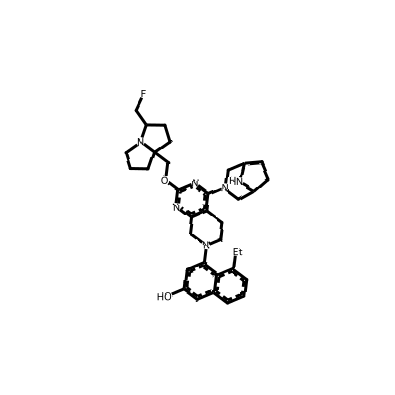 CCc1cccc2cc(O)cc(N3CCc4c(nc(OCC56CCCN5C(CF)CC6)nc4N4CC5CCC(C4)N5)C3)c12